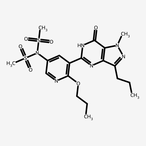 CCCOc1ncc(N(S(C)(=O)=O)S(C)(=O)=O)cc1-c1nc2c(CCC)nn(C)c2c(=O)[nH]1